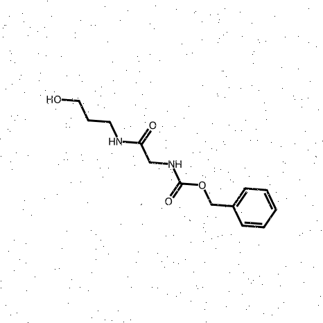 O=C(CNC(=O)OCc1ccccc1)NCCCO